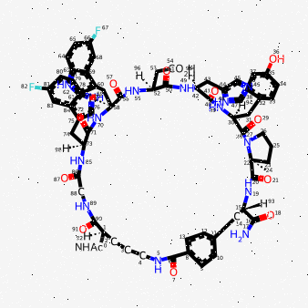 CC(=O)N[C@@H]1CCCNC(=O)c2ccc(cc2)C[C@@H](C(N)=O)NC(=O)[C@]2(C)CCCN2C(=O)[C@H](Cc2ccc(O)cc2)NC(=O)[C@H](Cc2cnc[nH]2)NC(=O)[C@H](CC(=O)O)NC(=O)[C@H](Cc2c[nH]c3ccc(F)cc23)NC(=O)[C@H](Cc2c[nH]c3ccc(F)cc23)NC(=O)CNC1=O